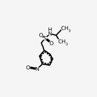 CC(C)NS(=O)(=O)Cc1cccc(N=O)c1